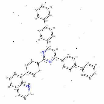 C1=CC(c2nc(-c3ccc(-c4ccccc4)cc3)cc(-c3ccc(-c4ccccc4)cc3)n2)CC=C1c1cccc2cccnc12